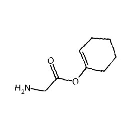 NCC(=O)OC1=CCCCC1